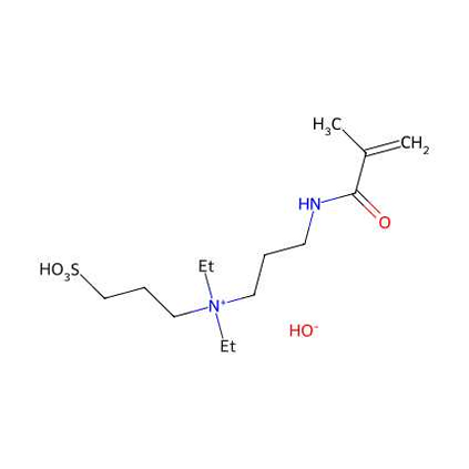 C=C(C)C(=O)NCCC[N+](CC)(CC)CCCS(=O)(=O)O.[OH-]